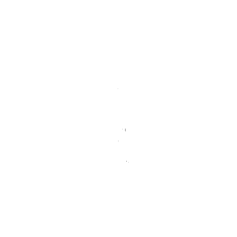 NC(=O)NC1=CC(=O)CC1